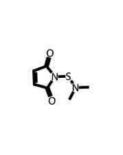 CN(C)SN1C(=O)C=CC1=O